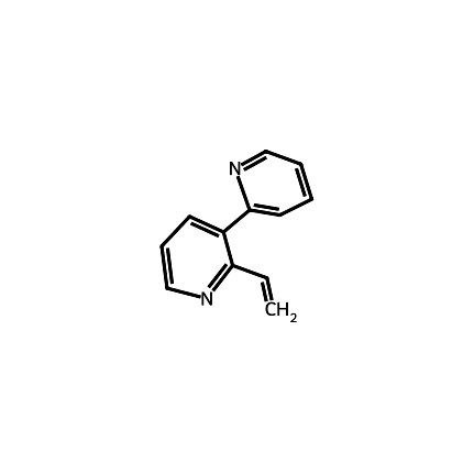 C=Cc1ncccc1-c1ccccn1